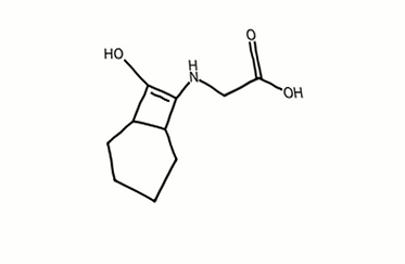 O=C(O)CNC1=C(O)C2CCCCC12